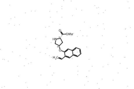 C=Cc1cc2ccccc2cc1O[C@H]1CN[C@H](C(=O)OC)C1